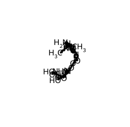 CCCCCNc1nc(N)nc2ccn(Cc3ccc(CN4CCN(C(=O)CCOCCOCCn5cc(CNC(=O)C(CCSC[C@H](N)C(=O)O)CC(=O)O)nn5)CC4)cc3OC)c12